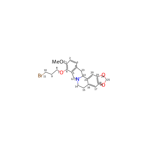 COc1ccc2c(c1OCCCBr)CN1CCc3cc4c(cc3C1C2)OCO4